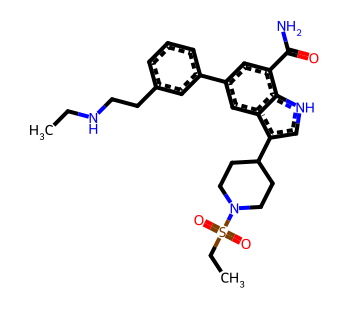 CCNCCc1cccc(-c2cc(C(N)=O)c3[nH]cc(C4CCN(S(=O)(=O)CC)CC4)c3c2)c1